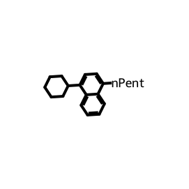 CCCCCc1ccc(C2CCCCC2)c2ccccc12